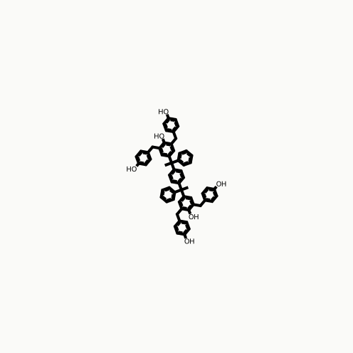 CC(c1ccccc1)(c1ccc(C(C)(c2ccccc2)c2cc(Cc3ccc(O)cc3)c(O)c(Cc3ccc(O)cc3)c2)cc1)c1cc(Cc2ccc(O)cc2)c(O)c(Cc2ccc(O)cc2)c1